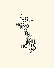 CCC(C)(C)NC(=O)c1cc(C(=O)O)c(C(=O)Nc2cc(C)c(/N=N/c3ccc(NC(=O)c4cc(C(=O)O)c(C(=O)NC(C)(CC)CC)cc4C(=O)O)cc3)cc2OC)cc1C(=O)O